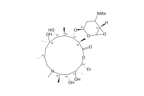 CC[C@H]1OC(=O)[C@H](C)[C@@H](O[C@H]2CC(NC)[C@@H]3OC3O2)[C@H](C)[C@@H](O)[C@](C)(O)C[C@@H](C)CN(C)[C@H](C)[C@@H](O)[C@]1(C)O